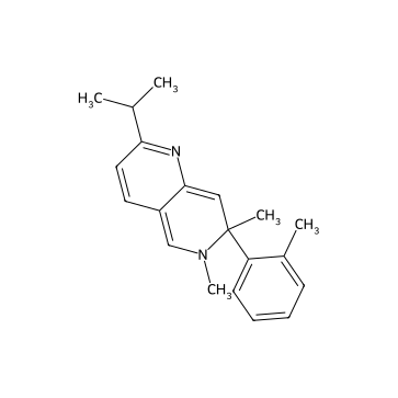 Cc1ccccc1C1(C)C=c2nc(C(C)C)ccc2=CN1C